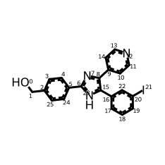 OCc1ccc(-c2nc(-c3ccncc3)c(-c3cccc(I)c3)[nH]2)cc1